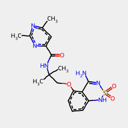 Cc1cc(C(=O)NC(C)(C)COc2cccc3c2C(N)=NS(=O)(=O)N3)nc(C)n1